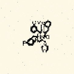 COc1cccc(C(=O)NC(CC2CCCCC2)C(=O)N[C@@H](CN2CCOCC2)CN2CCc3cc(F)ccc32)c1